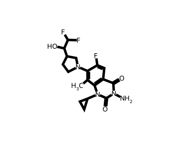 Cc1c(N2CCC(C(O)C(F)F)C2)c(F)cc2c(=O)n(N)c(=O)n(C3CC3)c12